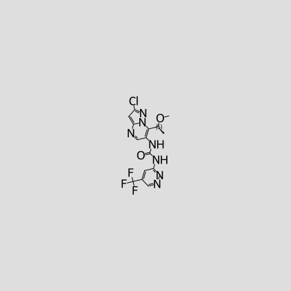 CO[C@@H](C)c1c(NC(=O)Nc2cc(C(F)(F)F)cnn2)cnc2cc(Cl)nn12